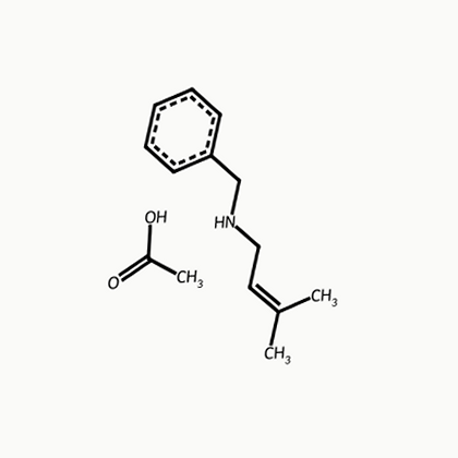 CC(=O)O.CC(C)=CCNCc1ccccc1